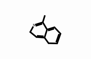 CC1=NCC=C2CC=CC=C21